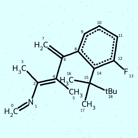 C=N/C(C)=C(\C)C(=C)c1cccc(F)c1C(C)(C)C(C)(C)C